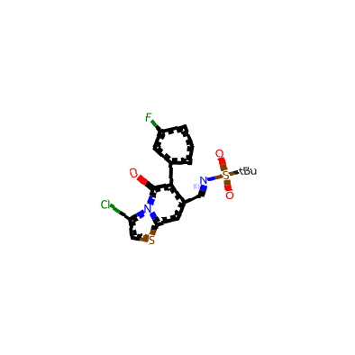 CC(C)(C)S(=O)(=O)/N=C/c1cc2scc(Cl)n2c(=O)c1-c1cccc(F)c1